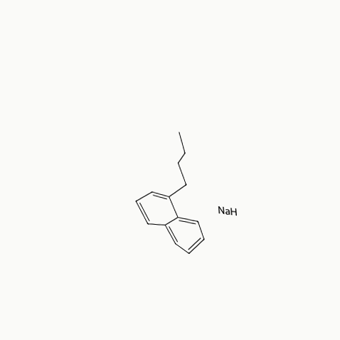 CCCCc1cccc2ccccc12.[NaH]